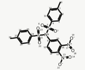 Cc1ccc(S(=O)(=O)N(c2ccc([N+](=O)[O-])c([N+](=O)[O-])c2)S(=O)(=O)c2ccc(C)cc2)cc1